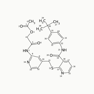 CC(=O)OCC(=O)Nc1cc(CSc2ncccc2C(=O)Nc2ccc(C(C)(C)C)cc2)ccn1